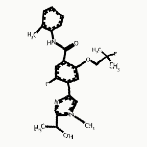 Cc1ccccc1NC(=O)c1cc(F)c(-c2cn(C)c(C(C)O)n2)cc1OCC(C)(C)F